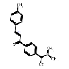 CCC(c1ccc(C(=O)/C=C/c2ccc(C)cc2)cc1)N(C)C